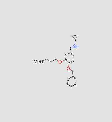 COCCCOc1cc(CNC2CC2)ccc1OCc1ccccc1